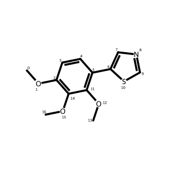 COc1ccc(-c2cncs2)c(OC)c1OC